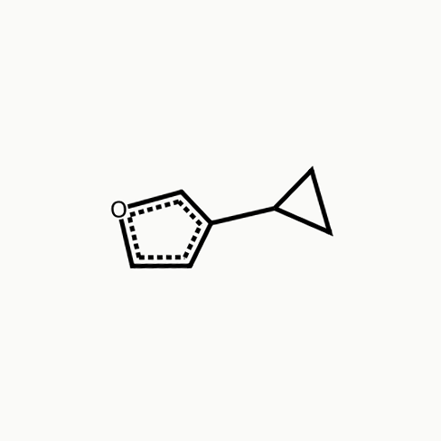 c1cc(C2CC2)co1